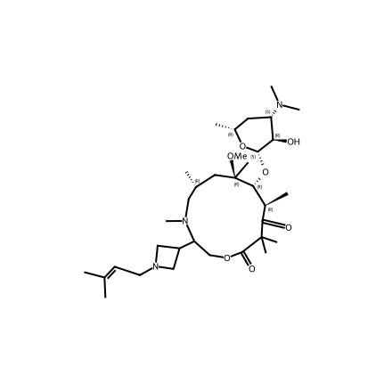 CO[C@]1(C)C[C@@H](C)CN(C)C(C2CN(CC=C(C)C)C2)COC(=O)C(C)(C)C(=O)[C@H](C)[C@H]1O[C@@H]1O[C@H](C)C[C@H](N(C)C)[C@H]1O